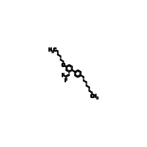 CCCCCCCCc1ccc(-c2ccc(OCCCCCC)cc2C=C(F)F)cc1